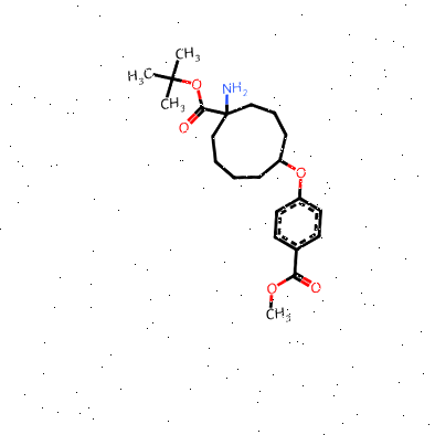 COC(=O)c1ccc(OC2CCCCC(N)(C(=O)OC(C)(C)C)CCC2)cc1